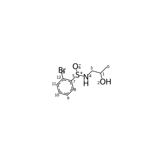 CC(O)CN[S+]([O-])c1ccccc1Br